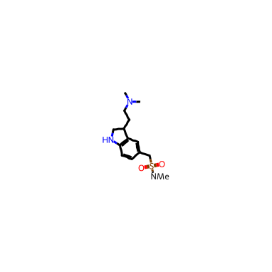 CNS(=O)(=O)Cc1ccc2c(c1)C(CCN(C)C)CN2